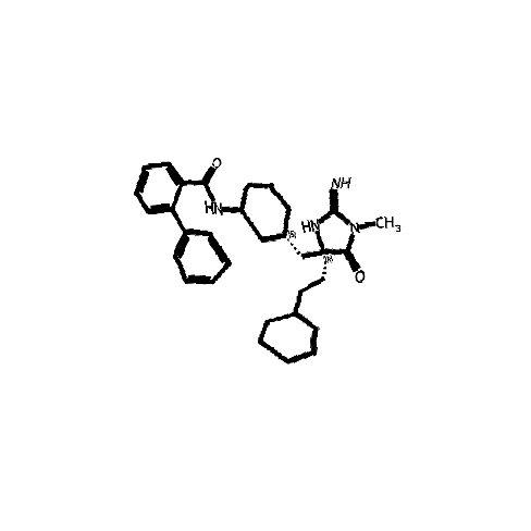 CN1C(=N)N[C@](CCC2CCCCC2)(C[C@H]2CCCC(NC(=O)c3ccccc3-c3ccccc3)C2)C1=O